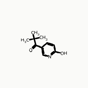 CC(C)(C)C(=O)c1ccc(O)nc1